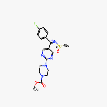 CC(C)(C)OC(=O)N1CCN(c2ncc(/C(=N\[S@@+]([O-])C(C)(C)C)c3ccc(F)cc3)cn2)CC1